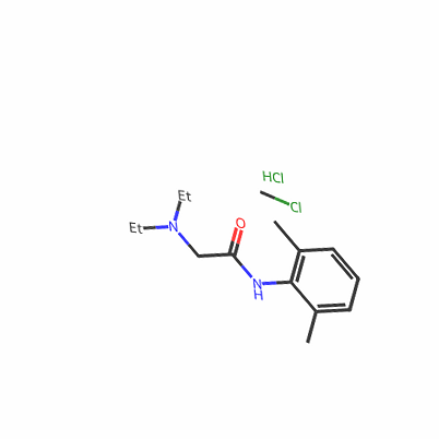 CCN(CC)CC(=O)Nc1c(C)cccc1C.CCl.Cl